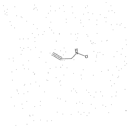 C#CCNCl